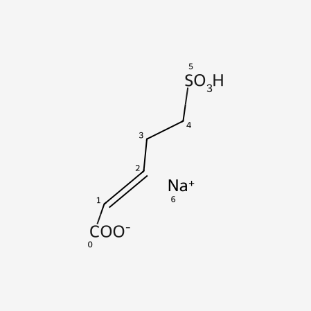 O=C([O-])C=CCCS(=O)(=O)O.[Na+]